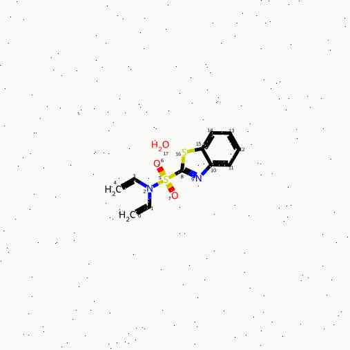 C=CN(C=C)S(=O)(=O)c1nc2ccccc2s1.O